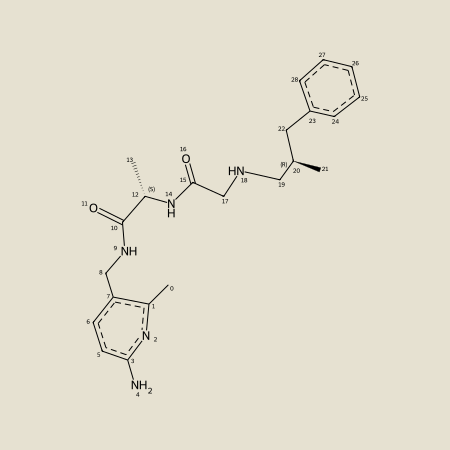 Cc1nc(N)ccc1CNC(=O)[C@H](C)NC(=O)CNC[C@H](C)Cc1ccccc1